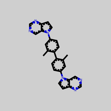 Cc1cc(-n2ccc3ncncc32)ccc1-c1ccc(-n2ccc3ncncc32)cc1C